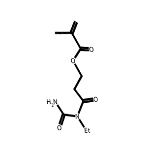 C=C(C)C(=O)OCCC(=O)N(CC)C(N)=O